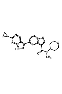 CN(C(=O)c1cnn2ccc(-c3c[nH]c4nc(C5CC5)ncc34)cc12)C1CCOCC1